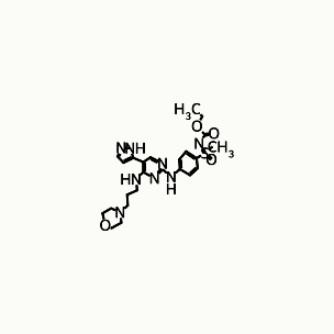 CCOC(=O)N=S(C)(=O)c1ccc(Nc2ncc(-c3ccn[nH]3)c(NCCCN3CCOCC3)n2)cc1